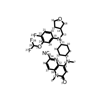 Cn1c(=O)cc(N(C)[C@H]2CC[C@@H](N(CC3CCOC3)c3ccc(F)c(OC(F)F)c3)CC2)c2nc(C#N)ccc21